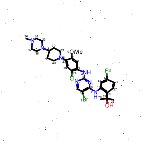 COc1cc(Nc2ncc(Br)c(Nc3cc(F)ccc3C(C)(C)O)n2)c(Cl)cc1N1CCC(N2CCN(C)CC2)CC1